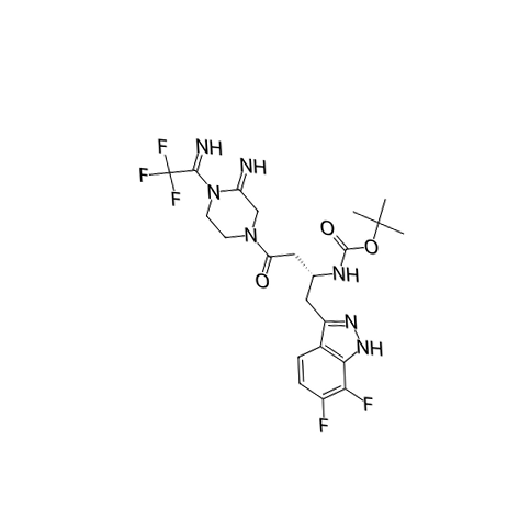 CC(C)(C)OC(=O)N[C@@H](CC(=O)N1CCN(C(=N)C(F)(F)F)C(=N)C1)Cc1n[nH]c2c(F)c(F)ccc12